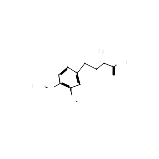 COc1ccc(CC[C@H](N)C(=O)O)cc1OC